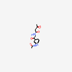 CC(=O)CC(=O)NCC(=O)c1cccc(NC(C)=O)c1